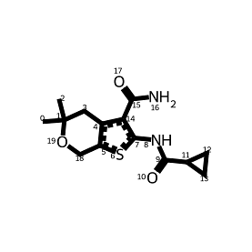 CC1(C)Cc2c(sc(NC(=O)C3CC3)c2C(N)=O)CO1